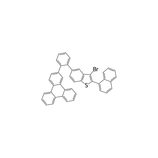 Brc1c(-c2cccc3ccccc23)sc2ccc(-c3ccccc3-c3ccc4c5ccccc5c5ccccc5c4c3)cc12